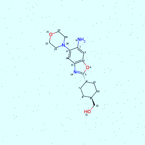 Nc1cc2oc([C@H]3CC[C@H](CO)CC3)nc2cc1N1CCOCC1